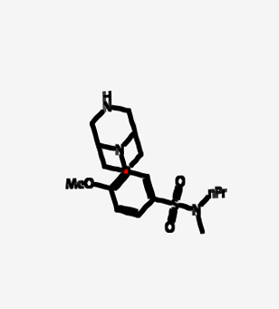 CCCN(C)S(=O)(=O)c1ccc(OC)c(N2C3CNCC2COC3)c1